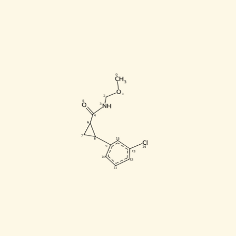 COCNC(=O)C1CC1c1cccc(Cl)c1